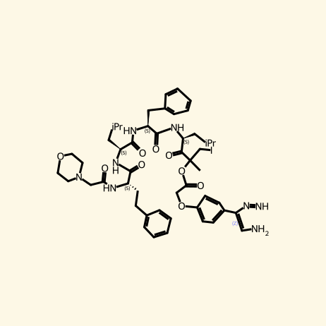 CC(C)C[C@H](NC(=O)[C@H](CCc1ccccc1)NC(=O)CN1CCOCC1)C(=O)N[C@@H](Cc1ccccc1)C(=O)N[C@@H](CC(C)C)C(=O)C(C)(CI)OC(=O)COc1ccc(/C(=C/N)N=N)cc1